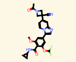 COc1cc(-c2cnc3cc(C4(C#N)CN(C(C)=O)C4)ccn23)cc(OC(F)F)c1C(=O)NC1CC1